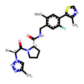 COc1cc(-c2scnc2C)c(F)cc1CNC(=O)[C@@H]1CCCN1C(=O)[C@H](C(C)C)n1cc(C)nn1